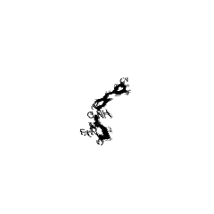 CCn1nc(C(=O)Nc2ccc(Cc3cc(F)cc(C#N)c3)cn2)ccc1=O